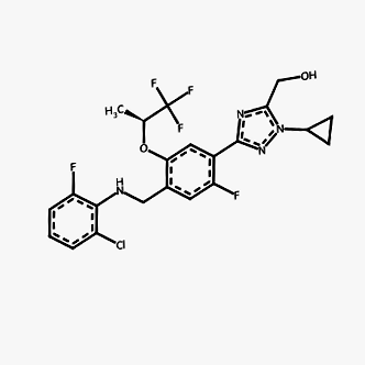 C[C@H](Oc1cc(-c2nc(CO)n(C3CC3)n2)c(F)cc1CNc1c(F)cccc1Cl)C(F)(F)F